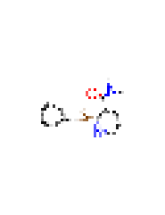 CN(C)C(=O)c1cccnc1SCc1ccccc1